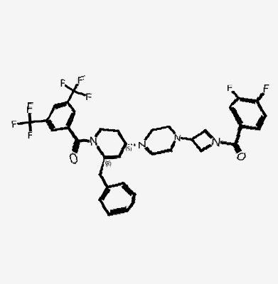 O=C(c1ccc(F)c(F)c1)N1CC(N2CCN([C@H]3CCN(C(=O)c4cc(C(F)(F)F)cc(C(F)(F)F)c4)[C@H](Cc4ccccc4)C3)CC2)C1